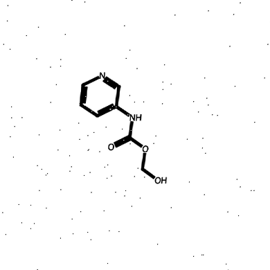 O=C(Nc1cccnc1)OCO